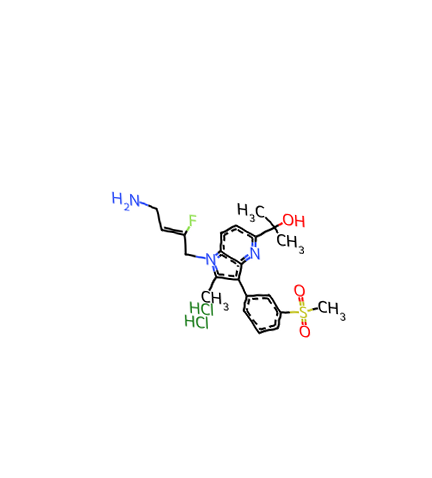 Cc1c(-c2cccc(S(C)(=O)=O)c2)c2nc(C(C)(C)O)ccc2n1CC(F)=CCN.Cl.Cl